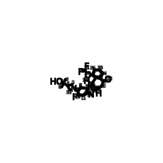 CC(C)(O)C1CN(c2cc3c(cc2F)nc2n3[C@@H]3C[C@@H]2CC(=O)c2cccc(OC(F)F)c23)C1